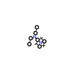 C=C1c2cccc3c2N2c4c1cc(N(c1ccc(-c5ccccc5)cc1)c1cccc(-c5ccccc5)c1)cc4C(C)(C)c1cccc(c12)C3(C)C